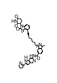 Cc1nn(CCCCCC#Cc2cccc3c2n(C)c(=O)n3C2CCC(=O)NC2=O)c2cc(C(=O)Nc3cc4[nH]c([C@H]5CCCN5C)cc4cn3)ccc12